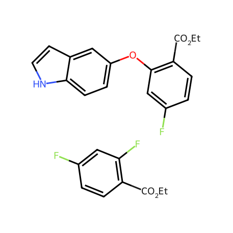 CCOC(=O)c1ccc(F)cc1F.CCOC(=O)c1ccc(F)cc1Oc1ccc2[nH]ccc2c1